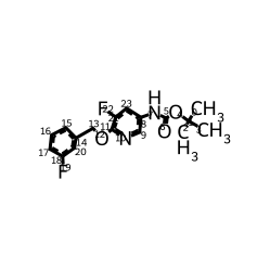 CC(C)(C)OC(=O)Nc1cnc(OCc2cccc(F)c2)c(F)c1